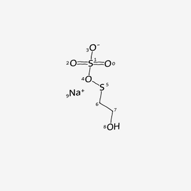 O=S(=O)([O-])OSCCO.[Na+]